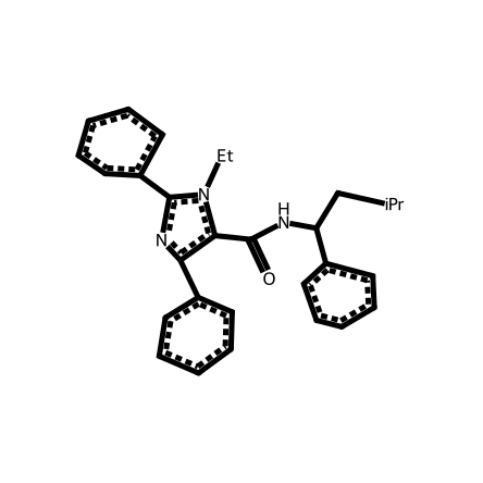 CCn1c(-c2ccccc2)nc(-c2ccccc2)c1C(=O)NC(CC(C)C)c1ccccc1